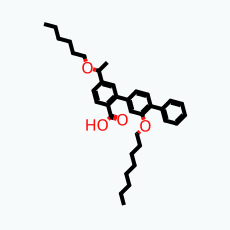 CCCCCCCCOc1cc(-c2cc(C(C)OCCCCCC)ccc2C(=O)O)ccc1-c1ccccc1